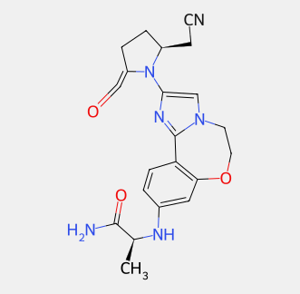 C[C@H](Nc1ccc2c(c1)OCCn1cc(N3C(=C=O)CC[C@H]3CC#N)nc1-2)C(N)=O